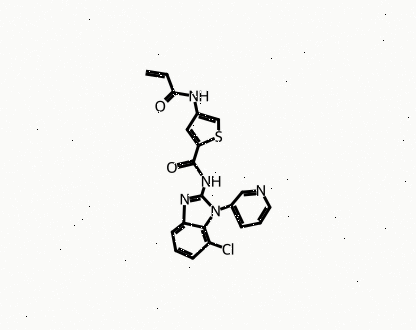 C=CC(=O)Nc1csc(C(=O)Nc2nc3cccc(Cl)c3n2-c2cccnc2)c1